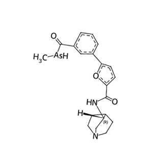 C[AsH]C(=O)c1cccc(-c2ccc(C(=O)N[C@H]3CN4CCC3CC4)o2)c1